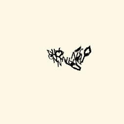 NC(=O)c1cccc2c(NCc3cccc(N(Cc4ccccc4)c4nccs4)c3)ncnc12